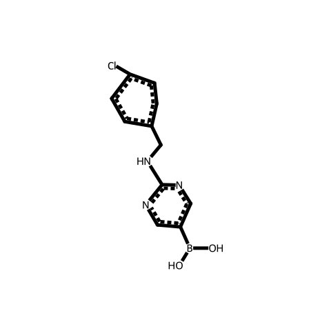 OB(O)c1cnc(NCc2ccc(Cl)cc2)nc1